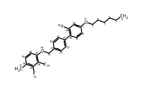 CCCCCCOc1ccc(-c2ccc(COc3ccc(C)c(F)c3F)cc2)c(F)c1